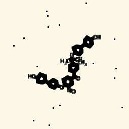 Cc1cc(C(=O)c2ccc(Oc3ccc(-c4ccc(O)cc4)cc3)c(N=O)c2)ccc1C(C)(C)Oc1ccc(-c2ccc(O)cc2)cc1